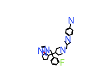 N#Cc1ccc(N2CC(CN3CCC(C(Cn4ccnn4)(c4cccc(F)c4)C4CCCC4)CC3)C2)cc1